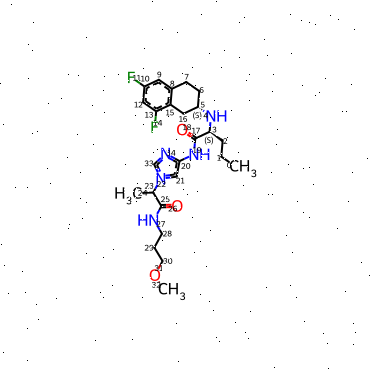 CCC[C@H](N[C@H]1CCc2cc(F)cc(F)c2C1)C(=O)Nc1cn(C(C)C(=O)NCCCOC)cn1